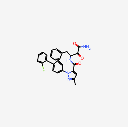 Cc1cc(C(=O)N[C@@H](Cc2ccccc2)C(=O)C(N)=O)n(-c2ccc(-c3ccccc3F)cc2)n1